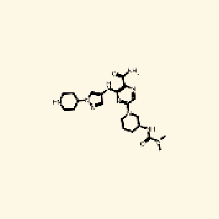 CN(C)C(=O)NC1CCCN(c2cnc(C(N)=O)c(Nc3cnn(C4CCNCC4)c3)n2)C1